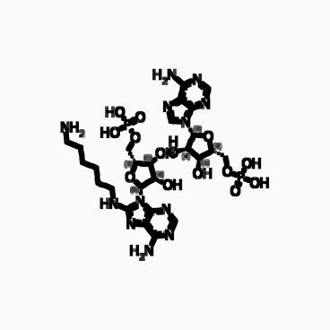 NCCCCCCNc1nc2c(N)ncnc2n1[C@@H]1O[C@H](COP(=O)(O)O)[C@@H](O)[C@H]1O.Nc1ncnc2c1ncn2[C@@H]1O[C@H](COP(=O)(O)O)[C@@H](O)[C@H]1O